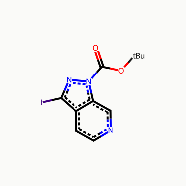 CC(C)(C)OC(=O)n1nc(I)c2ccncc21